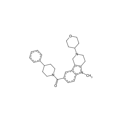 Cn1c2c(c3cc(C(=O)N4CCC(c5ccccc5)CC4)ccc31)CN(C1CCOCC1)CC2